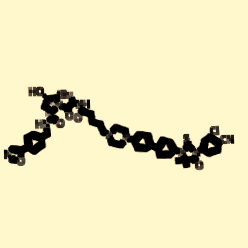 CC(C)(C)C(NC(=O)CCCCN1CCN(c2ccc(-c3ccc(N4C(=S)N(c5ccc(C#N)c(Cl)c5)C(=O)C4(C)C)cc3)cc2)CC1)C(=O)N1C[C@H](O)C[C@H]1C(=O)NCc1ccc(-c2cnco2)cc1